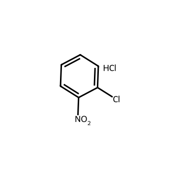 Cl.O=[N+]([O-])c1ccccc1Cl